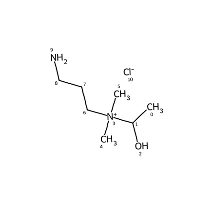 CC(O)[N+](C)(C)CCCN.[Cl-]